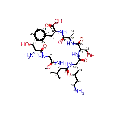 CC(C)[C@H](NC(=O)CNC(=O)[C@H](N)CO)C(=O)N[C@@H](CCCCN)C(=O)N[C@H](CO)C(=O)N[C@@H](C)C(=O)N[C@@H](Cc1ccccc1)C(=O)O